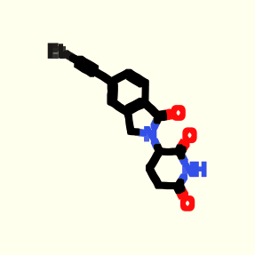 CCC#Cc1ccc2c(c1)CN(C1CCC(=O)NC1=O)C2=O